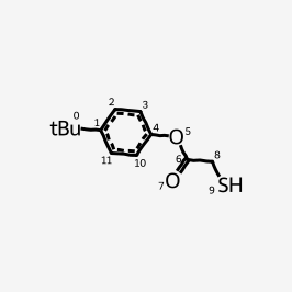 CC(C)(C)c1ccc(OC(=O)CS)cc1